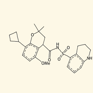 COc1ccc(C2CCC2)c2c1C(C(=O)NS(=O)(=O)c1cccc3c1CCCN3)CC(C)(C)O2